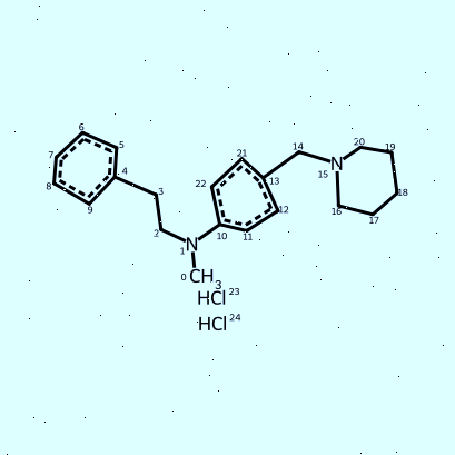 CN(CCc1ccccc1)c1ccc(CN2CCCCC2)cc1.Cl.Cl